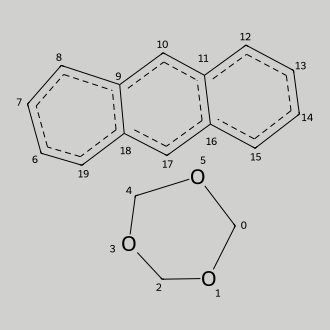 C1OCOCO1.c1ccc2cc3ccccc3cc2c1